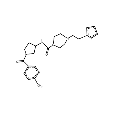 Cc1ccc(C(=O)N2CCC(NC(=O)N3CCN(CCc4cccs4)CC3)C2)cn1